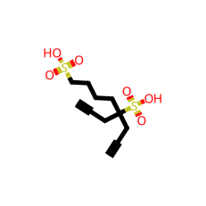 C#CCC(CC#C)(CCCCS(=O)(=O)O)S(=O)(=O)O